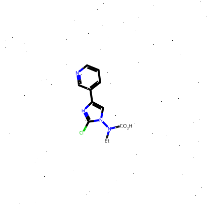 CCN(C(=O)O)n1cc(-c2cccnc2)nc1Cl